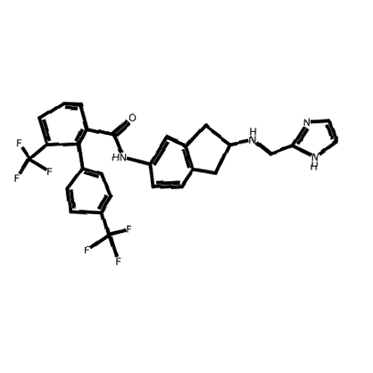 O=C(Nc1ccc2c(c1)CC(NCc1ncc[nH]1)C2)c1cccc(C(F)(F)F)c1-c1ccc(C(F)(F)F)cc1